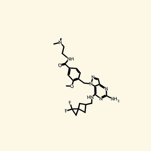 COc1cc(C(=O)NCCN(C)C)ccc1Cn1ncc2nc(N)nc(NCC3CC4(C3)CC4(F)F)c21